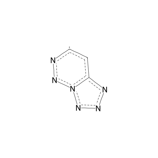 [c]1cc2nnnn2nn1